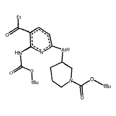 CCC(=O)c1ccc([AsH]C2CCCN(C(=O)OC(C)(C)C)C2)nc1NC(=O)OC(C)(C)C